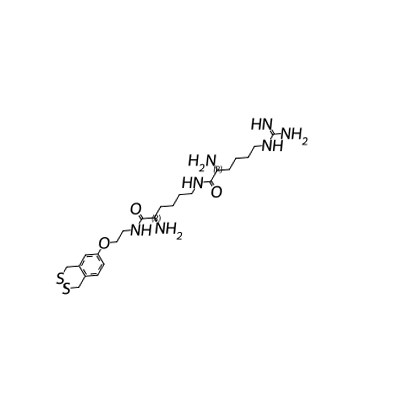 N=C(N)NCCCC[C@@H](N)C(=O)NCCCC[C@@H](N)C(=O)NCCOc1ccc2c(c1)CSSC2